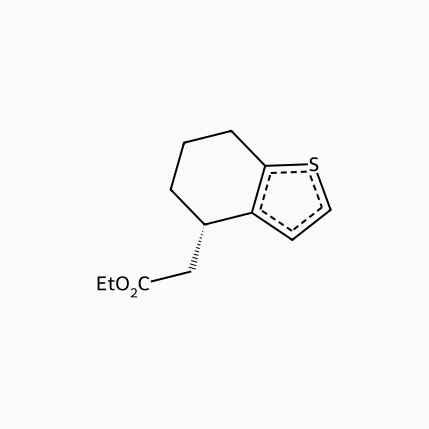 CCOC(=O)C[C@@H]1CCCc2sccc21